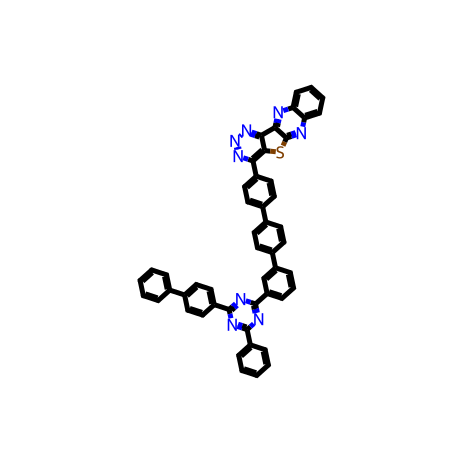 c1ccc(-c2ccc(-c3nc(-c4ccccc4)nc(-c4cccc(-c5ccc(-c6ccc(-c7nnnc8c7sc7nc9ccccc9nc78)cc6)cc5)c4)n3)cc2)cc1